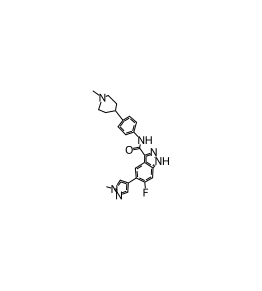 CN1CCC(c2ccc(NC(=O)c3n[nH]c4cc(F)c(-c5cnn(C)c5)cc34)cc2)CC1